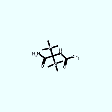 C[Si](C)(C)C(NC(=O)C(F)(F)F)(C(N)=O)[Si](C)(C)C